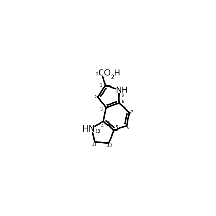 O=C(O)c1cc2c3c(ccc2[nH]1)CCN3